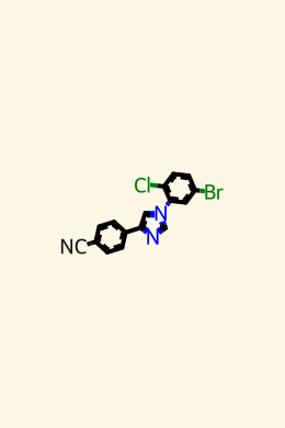 N#Cc1ccc(-c2cn(-c3cc(Br)ccc3Cl)cn2)cc1